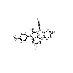 CC#CCn1c(=O)n(-c2ccc(OC)cc2)c2nc(Cl)nc(N3CCNCC3)c21